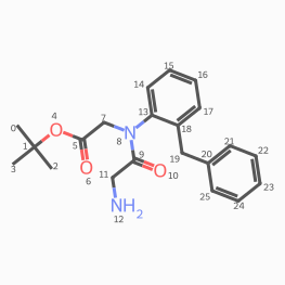 CC(C)(C)OC(=O)CN(C(=O)CN)c1ccccc1Cc1ccccc1